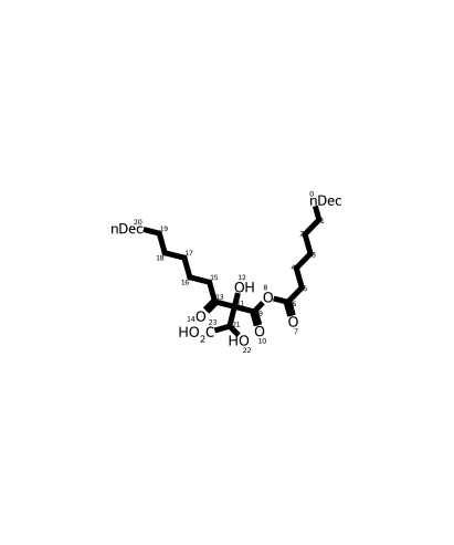 CCCCCCCCCCCCCCCC(=O)OC(=O)C(O)(C(=O)CCCCCCCCCCCCCCC)C(O)C(=O)O